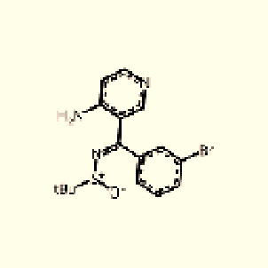 CC(C)(C)[S+]([O-])/N=C(\c1cccc(Br)c1)c1cnccc1N